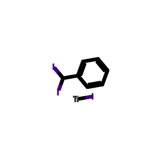 IC(I)c1ccccc1.[Ti][I]